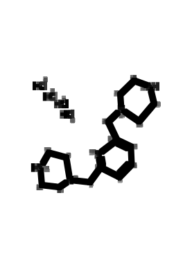 Cl.Cl.Cl.Cl.c1cc(CN2CCNCC2)nc(CN2CCNCC2)c1